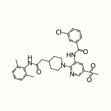 Cc1cccc(C)c1NC(=O)CC1CCN(c2ncc(S(C)(=O)=O)cc2NC(=O)c2cccc(Cl)c2)CC1